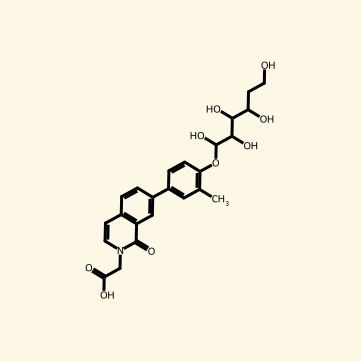 Cc1cc(-c2ccc3ccn(CC(=O)O)c(=O)c3c2)ccc1OC(O)C(O)C(O)C(O)CCO